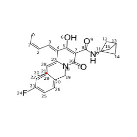 C\C=C/C=c1/c(O)c(C(=O)NC23CC(C2)C3)c(=O)n(Cc2ccc(F)cc2)/c1=C\CC